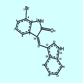 O=C1Nc2c(Br)cccc2/C1=C/c1c[nH]c2ccccc12